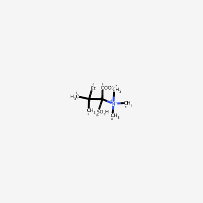 CCC(C)(C)C(C(=O)[O-])([N+](C)(C)C)S(=O)(=O)O